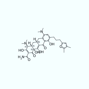 Cc1cc(CCCc2cc(N(C)C)c3c(c2O)C(=O)C2=C(O)[C@]4(O)C(=O)C(C(N)=O)=C(O)[C@@H](N(C)C)[C@@H]4C[C@@H]2C3)oc1C